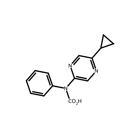 O=C(O)N(c1ccccc1)c1cnc(C2CC2)cn1